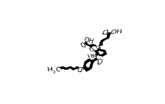 C=CCCCCOc1ccc(C(=O)Nc2cccc3c2OC(C(=O)O)CN3CCCC(=O)O)cc1